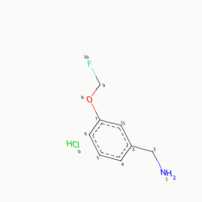 Cl.NCc1cccc(OCF)c1